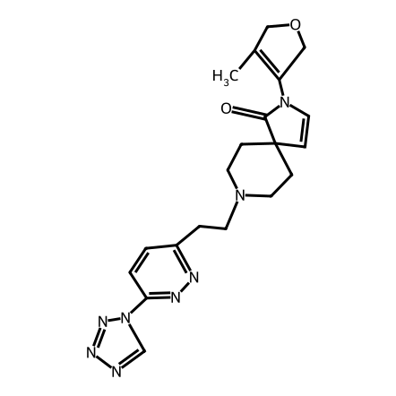 CC1=C(N2C=CC3(CCN(CCc4ccc(-n5cnnn5)nn4)CC3)C2=O)COC1